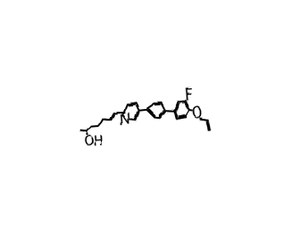 C=CCOc1ccc(-c2ccc(-c3ccc(/C=C/CCCC(C)O)nc3)cc2)cc1F